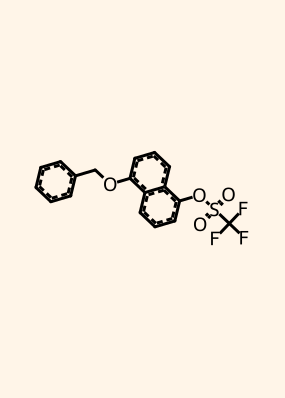 O=S(=O)(Oc1cccc2c(OCc3ccccc3)cccc12)C(F)(F)F